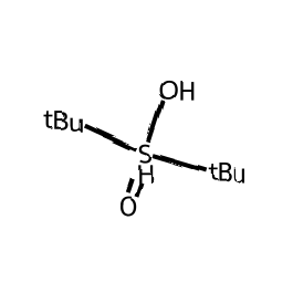 CC(C)(C)[SH](=O)(O)C(C)(C)C